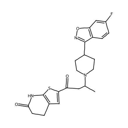 CC(CC(=O)c1cc2c(s1)NC(=O)CC2)N1CCC(c2noc3cc(F)ccc23)CC1